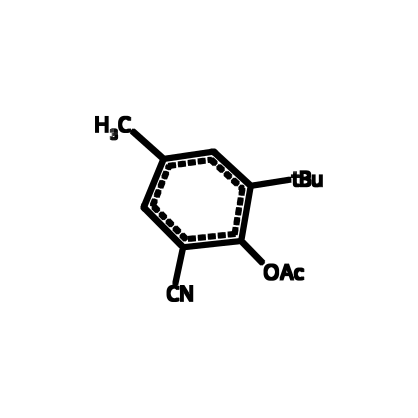 CC(=O)Oc1c(C#N)cc(C)cc1C(C)(C)C